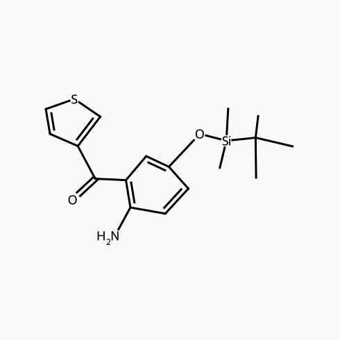 CC(C)(C)[Si](C)(C)Oc1ccc(N)c(C(=O)c2ccsc2)c1